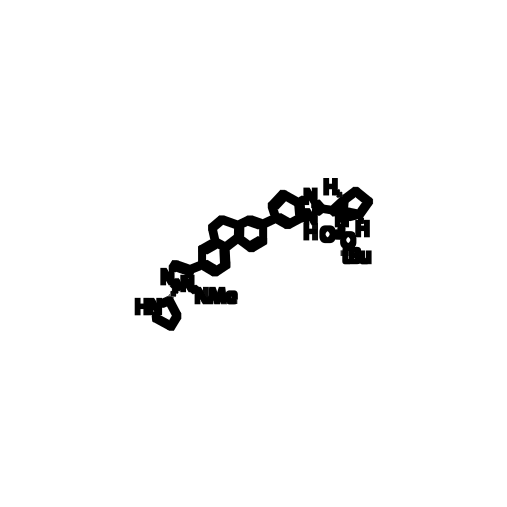 CNn1c(-c2ccc3c(c2)CCc2cc(-c4ccc5nc(C6[C@H]7CC[C@H](C7)N6C(=O)OC(C)(C)C)[nH]c5c4)ccc2-3)cnc1[C@@H]1CCCN1